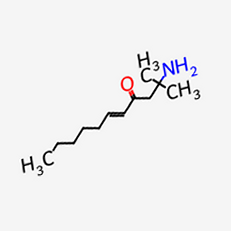 CCCCCC=CC(=O)CC(C)(C)N